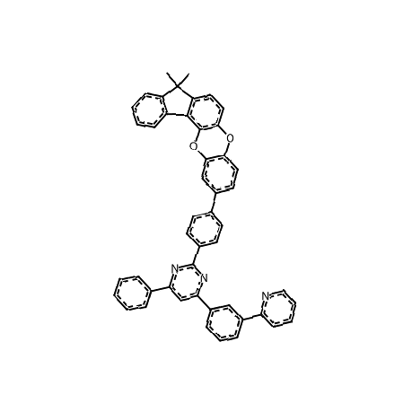 CC1(C)c2ccccc2-c2c1ccc1c2Oc2cc(-c3ccc(-c4nc(-c5ccccc5)cc(-c5cccc(-c6ccccn6)c5)n4)cc3)ccc2O1